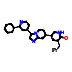 CC(C)Cc1cc(-c2ccn3c(-c4ccnc(-c5ccccc5)c4)cnc3c2)c[nH]c1=O